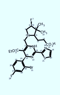 CCOC(=O)C1=C(CN2C[C@@H](F)C(C)(C)C2CCC(=O)O)NC(c2nccs2)=N[C@H]1c1ccc(F)cc1Br